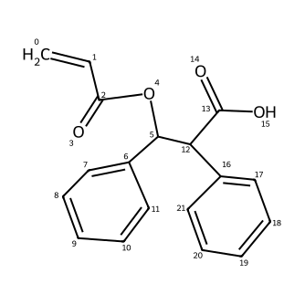 C=CC(=O)OC(c1ccccc1)C(C(=O)O)c1ccccc1